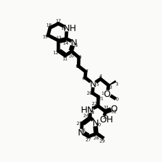 CO[C@H](C)CN(CCCCc1ccc2c(n1)NCCC2)CCC(Nc1cncc(C)n1)C(=O)O